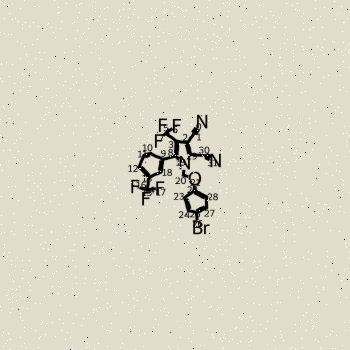 N#Cc1c(C(F)(F)F)c(-c2cccc(C(F)(F)F)c2)n(COc2ccc(Br)cc2)c1C#N